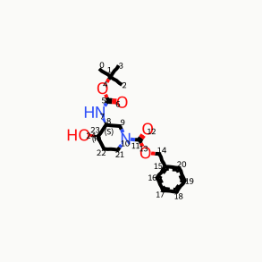 CC(C)(C)OC(=O)N[C@H]1CN(C(=O)OCc2ccccc2)CC[C@H]1O